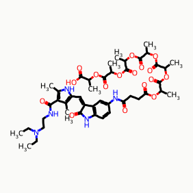 CCN(CC)CCNC(=O)c1c(C)[nH]c(/C=C2\C(=O)Nc3ccc(NC(=O)CCC(=O)OC(C)C(=O)OC(C)C(=O)OC(C)C(=O)OC(C)C(=O)OC(C)C(=O)OC(C)C(=O)O)cc32)c1C